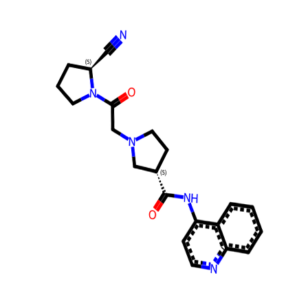 N#C[C@@H]1CCCN1C(=O)CN1CC[C@H](C(=O)Nc2ccnc3ccccc23)C1